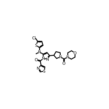 CN(c1ccc(Cl)s1)c1cc(C2CCN(C(=O)N3CCOCC3)C2)nn1C(=O)c1cscn1